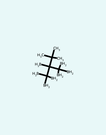 BC(B)(B)C(B)(C(B)(B)B)C(C)(C)C